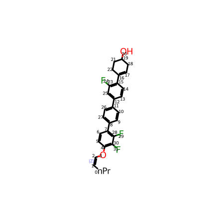 CCC/C=C\Oc1ccc(-c2ccc(-c3ccc(C4=CCC(O)CC4)c(F)c3)cc2)c(F)c1F